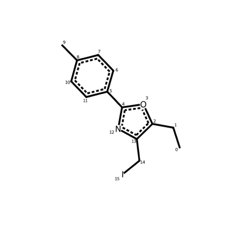 CCc1oc(-c2ccc(C)cc2)nc1CI